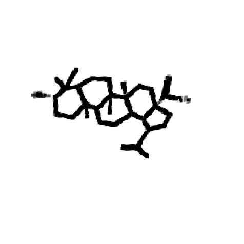 C=C(C)[C@@H]1CC[C@]2(C(N)=O)CC[C@]3(C)C(CCC4[C@@]5(C)CC[C@H](O)C(C)(C)C5CC[C@]43C)C12